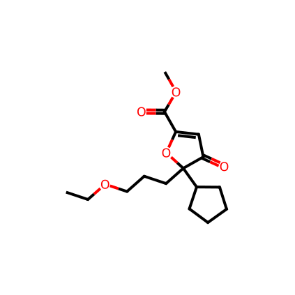 CCOCCCC1(C2CCCC2)OC(C(=O)OC)=CC1=O